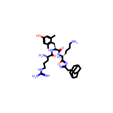 Cc1cc(O)cc(C)c1C[C@H](NC(=O)[C@H](N)CCCNC(=N)N)C(=O)N[C@H](CCCCN)c1nc(CC23CC4CC(CC(C4)C2)C3)no1